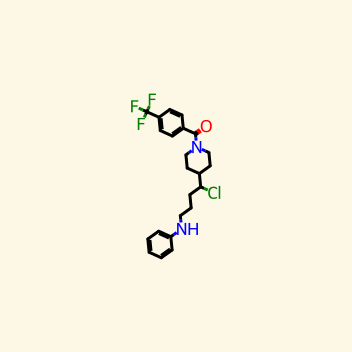 O=C(c1ccc(C(F)(F)F)cc1)N1CCC(C(Cl)CCCNc2ccccc2)CC1